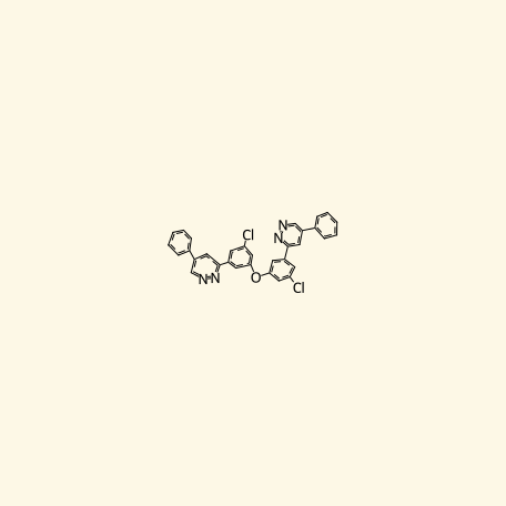 Clc1cc(Oc2cc(Cl)cc(-c3cc(-c4ccccc4)cnn3)c2)cc(-c2cc(-c3ccccc3)cnn2)c1